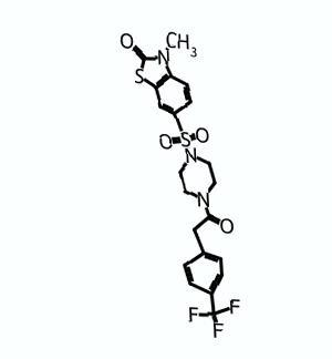 Cn1c(=O)sc2cc(S(=O)(=O)N3CCN(C(=O)Cc4ccc(C(F)(F)F)cc4)CC3)ccc21